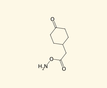 NOC(=O)CC1CCC(=O)CC1